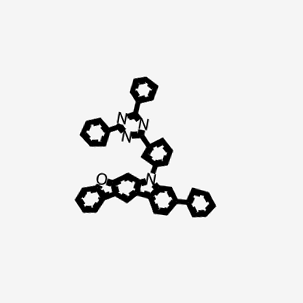 c1ccc(-c2ccc3c4cc5c(cc4n(-c4cccc(-c6nc(-c7ccccc7)nc(-c7ccccc7)n6)c4)c3c2)oc2ccccc25)cc1